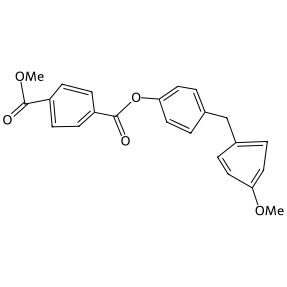 COC(=O)c1ccc(C(=O)Oc2ccc(Cc3ccc(OC)cc3)cc2)cc1